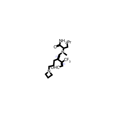 CC(C)CC(C(N)=O)N(C)/C=C(CCCN1CCC1)\C(=C/C=O)C(F)(F)F